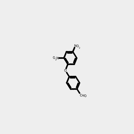 O=Cc1ccc(Oc2ccc([N+](=O)[O-])cc2[N+](=O)[O-])cc1